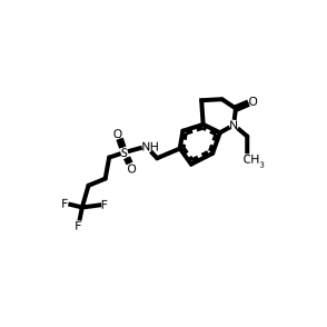 CCN1C(=O)CCc2cc(CNS(=O)(=O)CCCC(F)(F)F)ccc21